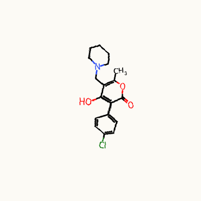 Cc1oc(=O)c(-c2ccc(Cl)cc2)c(O)c1CN1CCCCC1